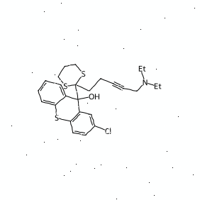 CCN(CC)CC#CCCC1(C2(O)c3ccccc3Sc3ccc(Cl)cc32)SCCCS1